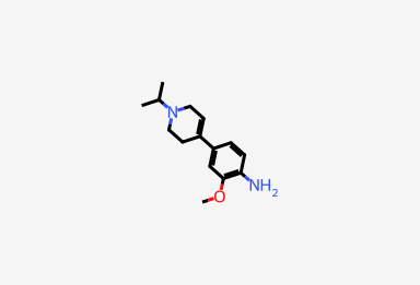 COc1cc(C2=CCN(C(C)C)CC2)ccc1N